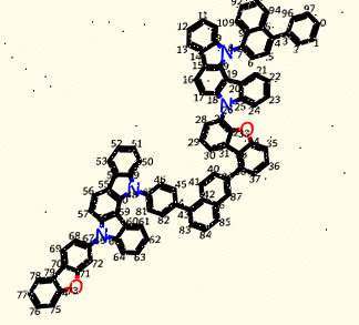 c1ccc(-c2ccc(-n3c4ccccc4c4ccc5c(c6ccccc6n5-c5cccc6c5oc5cccc(-c7ccc8c(-c9ccc(-n%10c%11ccccc%11c%11ccc%12c(c%13ccccc%13n%12-c%12ccc%13c(c%12)oc%12ccccc%12%13)c%11%10)cc9)cccc8c7)c56)c43)c3ccccc23)cc1